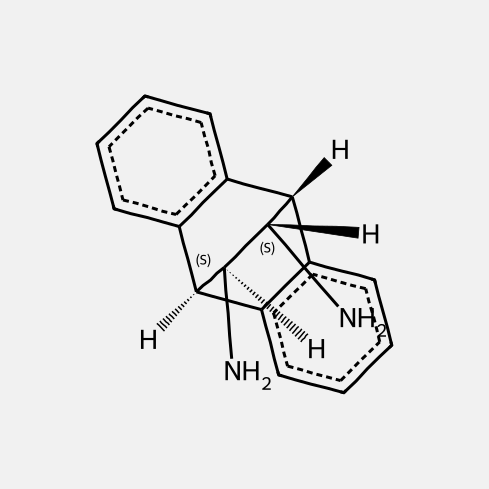 N[C@H]1[C@H]2c3ccccc3[C@@H](c3ccccc32)[C@@H]1N